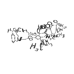 CN(C)CCN(Cc1ccccc1)Cc1ccc(-c2cc(N(C)C)c3c(c2O)C(=O)C2=C(O)[C@@]4(O)C(=O)C(C(N)=O)=C(O)[C@H](N(C)C)[C@H]4C[C@H]2C3)o1